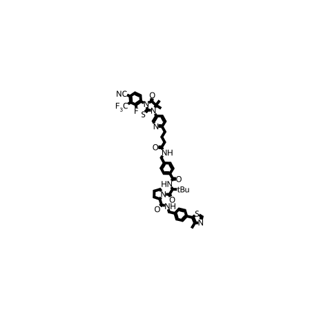 Cc1ncsc1-c1ccc(CNC(=O)C2CCCN2C(=O)C(NC(=O)c2ccc(CNC(=O)CCCc3ccc(N4C(=S)N(c5ccc(C#N)c(C(F)(F)F)c5F)C(=O)C4(C)C)cn3)cc2)C(C)(C)C)cc1